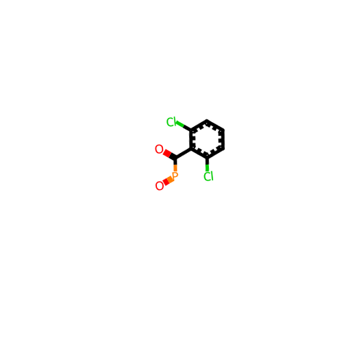 O=PC(=O)c1c(Cl)cccc1Cl